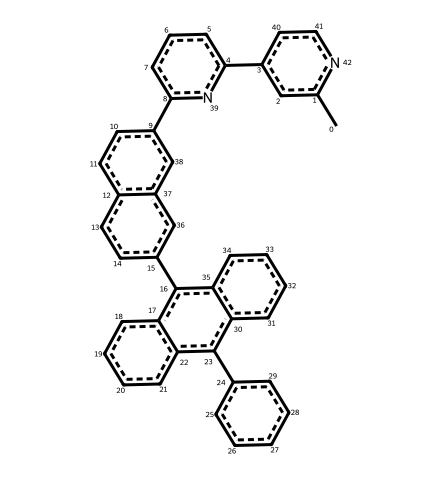 Cc1cc(-c2cccc(-c3ccc4ccc(-c5c6ccccc6c(-c6ccccc6)c6ccccc56)cc4c3)n2)ccn1